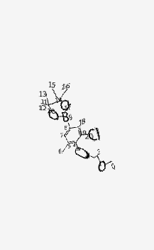 COCOc1c(C)cc(B2OC(C)(C)C(C)(C)O2)cc1Cl